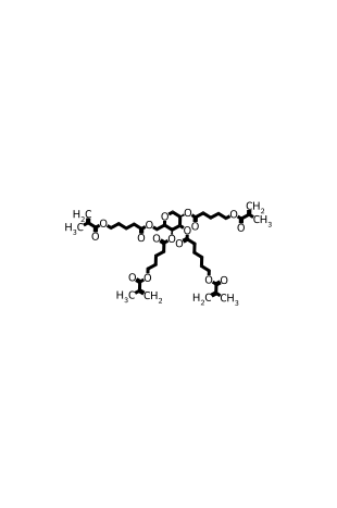 C=C(C)C(=O)OCCCCCC(=O)OC1[C@@H](OC(=O)CCCCOC(=O)C(=C)C)C(COC(=O)CCCCOC(=O)C(=C)C)OC[C@H]1OC(=O)CCCCOC(=O)C(=C)C